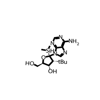 C[SiH](C)[C@@]1(n2cnc3c(N)ncnc32)O[C@H](CO)[C@@H](O)[C@H]1C(C)(C)C